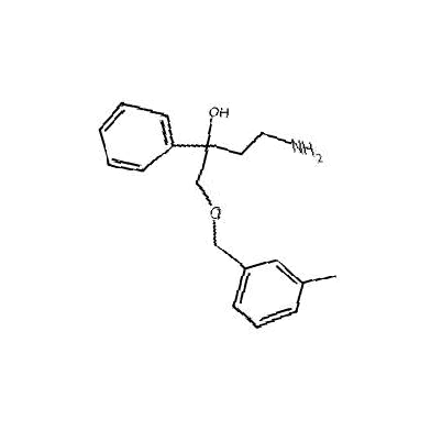 Cc1cccc(COCC(O)(CCN)c2ccccc2)c1